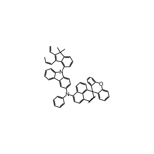 C=CC1=C(/C=C\C)c2c(-n3c4ccccc4c4cc(N(c5ccccc5)c5ccc6c7c(cccc57)C5(c7ccccc7Oc7ccccc75)c5ccccc5-6)ccc43)cccc2C1(C)C